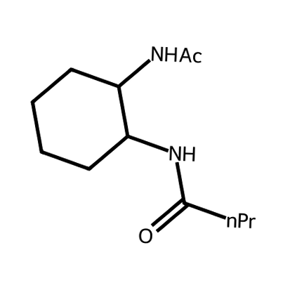 CCCC(=O)NC1CCCCC1NC(C)=O